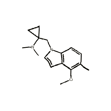 COc1c(C)ccc2c1ccn2CC1(N(C)C)CC1